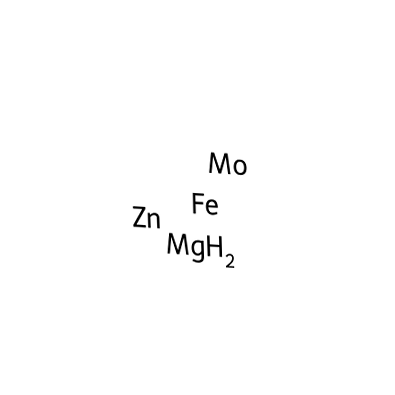 [Fe].[MgH2].[Mo].[Zn]